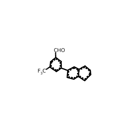 O=Cc1cc(-c2ccc3ccccc3c2)cc(C(F)(F)F)c1